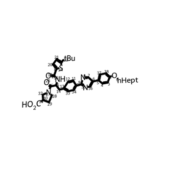 CCCCCCCOc1ccc(-c2cnc(-c3ccc(CC(NC(=O)c4ccc(C(C)(C)C)s4)C(=O)N4CCC(C(=O)O)C4)cc3)nc2)cc1